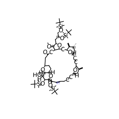 C=C1C[C@@H]2CCC/C=C/C(O[Si](C)(C)C(C)(C)C)[C@@H]3O[C@H]4CCC(CC(=O)CC5C(CC6O[C@@H](CCC1O2)C[C@@H](C)C6=C)OC(C[C@@H](CO[Si](C)(C)C(C)(C)C)O[Si](C)(C)C(C)(C)C)[C@@H]5OC)O[C@@H]4[C@H](O)C3O[Si](C)(C)C(C)(C)C